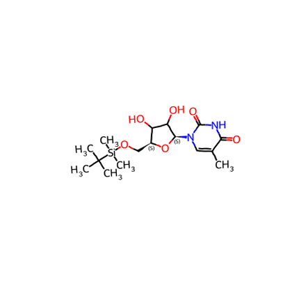 Cc1cn([C@H]2O[C@@H](CO[Si](C)(C)C(C)(C)C)C(O)C2O)c(=O)[nH]c1=O